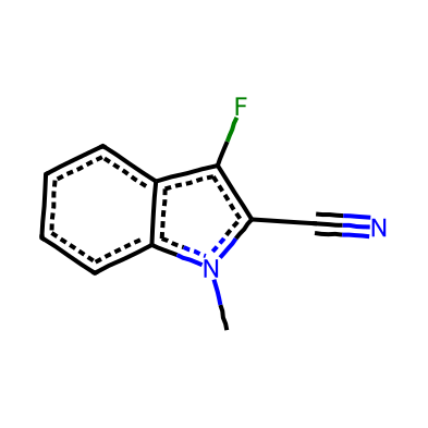 Cn1c(C#N)c(F)c2ccccc21